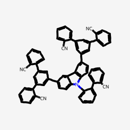 N#Cc1ccccc1-c1cc(-c2ccc3c(c2)c2cc(-c4cc(-c5ccccc5C#N)cc(-c5ccccc5C#N)c4)ccc2n3-c2ccccc2-c2ccccc2C#N)cc(-c2ccccc2C#N)c1